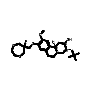 COc1cc2c(cc1OCC1(F)COCCOC1)CCN1C[C@@H](CC(C)(C)C)[C@H](O)C[C@H]21